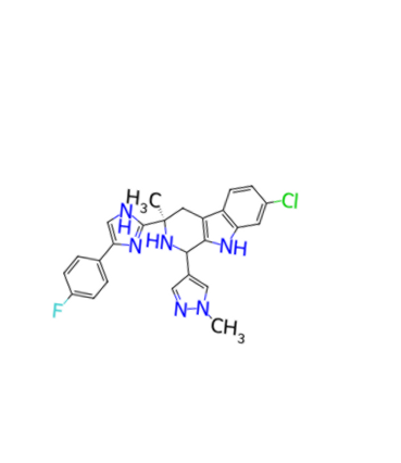 Cn1cc(C2N[C@@](C)(c3nc(-c4ccc(F)cc4)c[nH]3)Cc3c2[nH]c2cc(Cl)ccc32)cn1